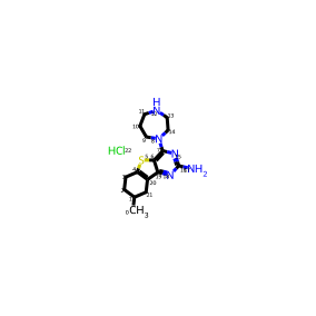 CC1CCc2sc3c(N4CCCNCC4)nc(N)nc3c2C1.Cl